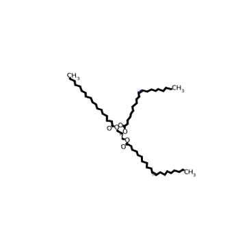 CCCCCCCC/C=C\CCCCCCCCCC(=O)OC[C@@H](COC(=O)CCCCCCCCCCCCCCCCC)OC(=O)CCCCCCCCC/C=C\CCCCCCCC